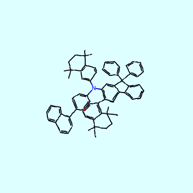 CC1(C)CCC(C)(C)c2cc(N(c3ccc(-c4cccc5ccccc45)cc3)c3cc4c(cc3-c3cccc5c3C(C)(C)CCC5(C)C)-c3ccccc3C4(c3ccccc3)c3ccccc3)ccc21